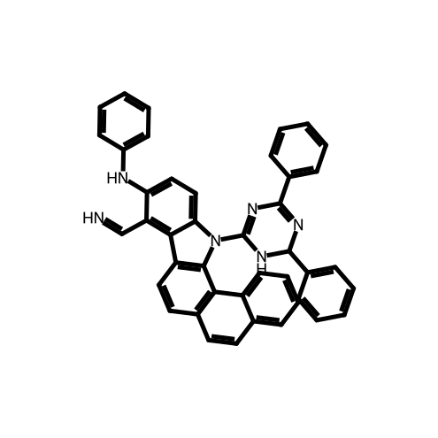 N=Cc1c(Nc2ccccc2)ccc2c1c1ccc3ccc4ccccc4c3c1n2C1=NC(c2ccccc2)=NC(c2ccccc2)N1